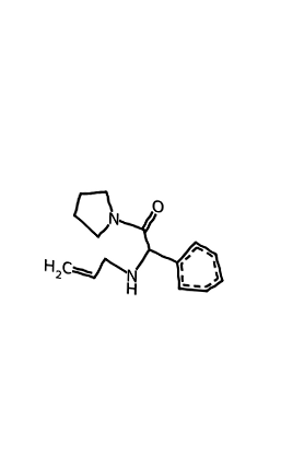 C=CCNC(C(=O)N1CCCC1)c1ccccc1